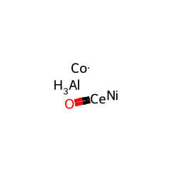 [AlH3].[Co].[Ni].[O]=[Ce]